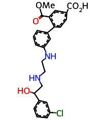 COC(=O)c1cc(C(=O)O)ccc1-c1cccc(NCCNCC(O)c2cccc(Cl)c2)c1